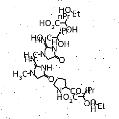 CC(C)C(O)C(=O)O.CC(C)C(O)C(=O)O.CCCC(O)C(=O)O.CCO.CCO.CN1CC(=O)NC1=N.CN1CC(=O)NC1=N.O=C(O)C1CCCN1